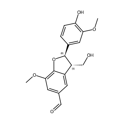 COc1cc([C@@H]2Oc3c(OC)cc(C=O)cc3[C@H]2CO)ccc1O